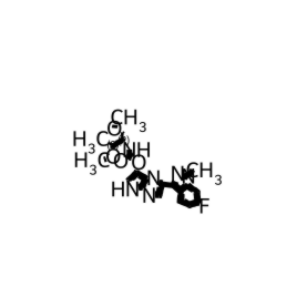 COC[C@@H](NC(=O)Oc1c[nH]c2ncc(-c3nn(C)c4cc(F)ccc34)nc12)[C@H](C)OC